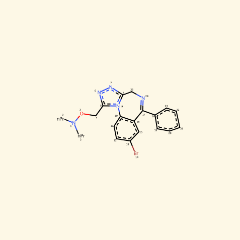 CCCN(CCC)OCc1nnc2n1-c1ccc(Br)cc1C(c1ccccc1)=NC2